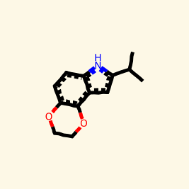 CC(C)c1cc2c3c(ccc2[nH]1)OCCO3